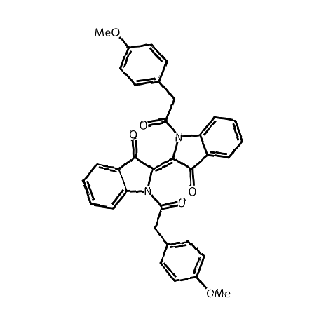 COc1ccc(CC(=O)N2C(=C3C(=O)c4ccccc4N3C(=O)Cc3ccc(OC)cc3)C(=O)c3ccccc32)cc1